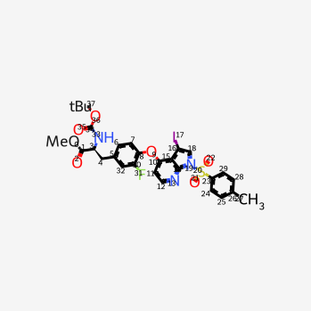 COC(=O)[C@H](Cc1ccc(Oc2ccnc3c2c(I)cn3S(=O)(=O)c2ccc(C)cc2)c(F)c1)NC(=O)OC(C)(C)C